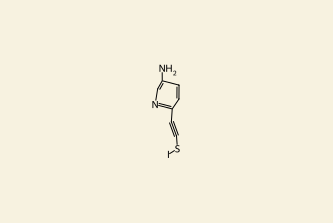 Nc1ccc(C#CSI)nc1